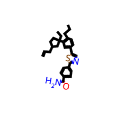 C=CCC1CCC(CC)(c2cc(-c3cnc(-c4ccc(C(N)=O)cc4)s3)ccc2CCC)C1